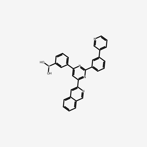 OB(O)c1cccc(-c2cc(-c3cc4ccccc4cn3)nc(-c3cccc(-c4cccnc4)c3)n2)c1